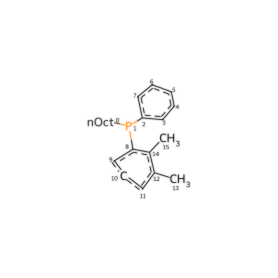 CCCCCCCCP(c1ccccc1)c1cccc(C)c1C